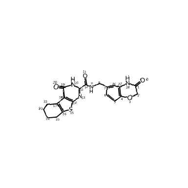 O=C1COc2ccc(CNC(=O)c3nc4sc5c(c4c(=O)[nH]3)CCCC5)cc2N1